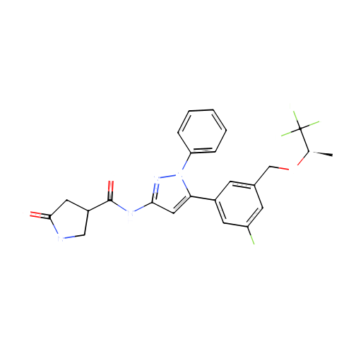 C[C@@H](OCc1cc(F)cc(-c2cc(NC(=O)C3CNC(=O)C3)nn2-c2ccccc2)c1)C(F)(F)F